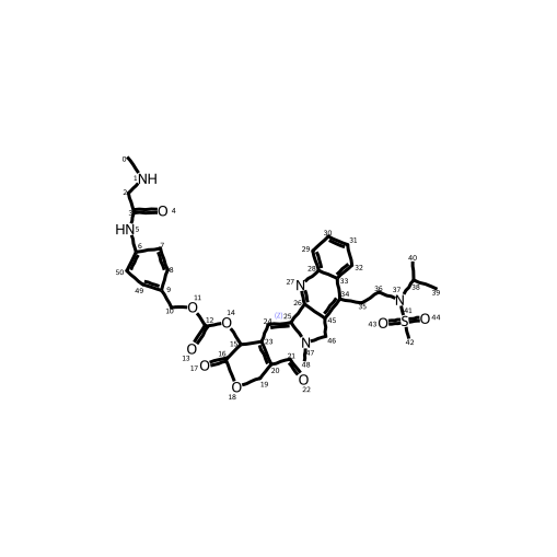 CNCC(=O)Nc1ccc(COC(=O)OC2C(=O)OCC(C=O)=C2/C=C2/c3nc4ccccc4c(CCN(C(C)C)S(C)(=O)=O)c3CN2C)cc1